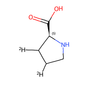 [2H]C1CN[C@H](C(=O)O)C1[2H]